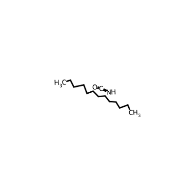 CCCCCCCCCCCCC.N=C=O